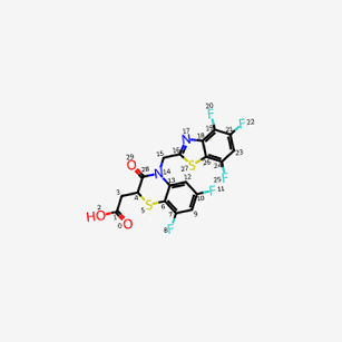 O=C(O)CC1Sc2c(F)cc(F)cc2N(Cc2nc3c(F)c(F)cc(F)c3s2)C1=O